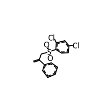 C=C(CS(=O)(=O)c1ccc(Cl)cc1Cl)c1ccccc1